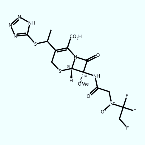 CO[C@@]1(NC(=O)C[S+]([O-])C(F)(F)CF)C(=O)N2C(C(=O)O)=C(C(C)Sc3nnn[nH]3)CS[C@H]21